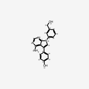 Nc1ncnc2c1c(-c1ccc(O)cc1)cn2-c1cccc(CO)c1